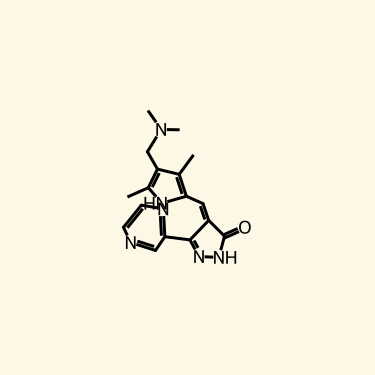 Cc1[nH]c(/C=C2/C(=O)NN=C2c2cnccn2)c(C)c1CN(C)C